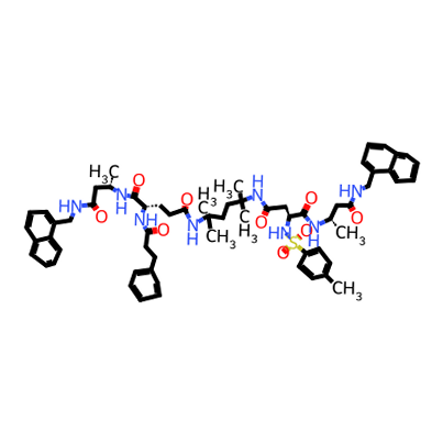 Cc1ccc(S(=O)(=O)N[C@@H](CC(=O)NC(C)(C)CCC(C)(C)NC(=O)CC[C@H](NC(=O)CCc2ccccc2)C(=O)N[C@@H](C)CC(=O)NCc2cccc3ccccc23)C(=O)N[C@@H](C)CC(=O)NCc2cccc3ccccc23)cc1